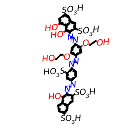 O=S(=O)(O)c1ccc2c(O)c(/N=N/c3ccc(/N=N/c4cc(OCCO)c(/N=N/c5c(S(=O)(=O)O)cc6cc(S(=O)(=O)O)cc(O)c6c5O)cc4OCCO)c(S(=O)(=O)O)c3)c(S(=O)(=O)O)cc2c1